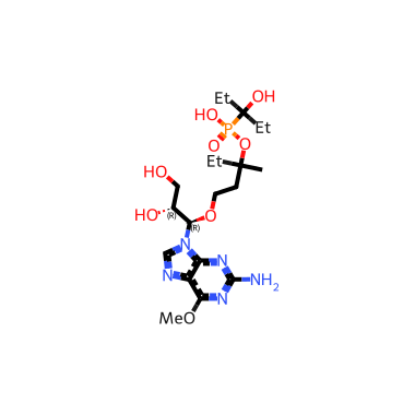 CCC(C)(CCO[C@H]([C@H](O)CO)n1cnc2c(OC)nc(N)nc21)OP(=O)(O)C(O)(CC)CC